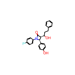 O=C1[C@@H](C(O)CCc2ccccc2)[C@@H](c2ccc(O)cc2)N1c1ccc(F)cc1